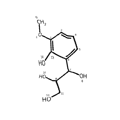 COc1cccc(C(O)C(O)CO)c1O